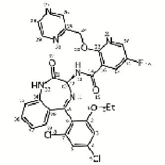 CCOc1cc(Cl)cc(Cl)c1C1=N[C@H](NC(=O)c2cc(F)cnc2OCc2cnccn2)C(=O)Nc2ccccc21